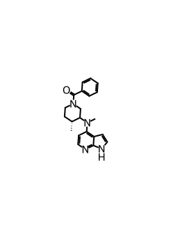 C[C@@H]1CCN(C(=O)c2ccccc2)CC1N(C)c1ccnc2[nH]ccc12